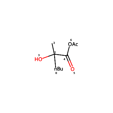 CCCCC(C)(O)C(=O)OC(C)=O